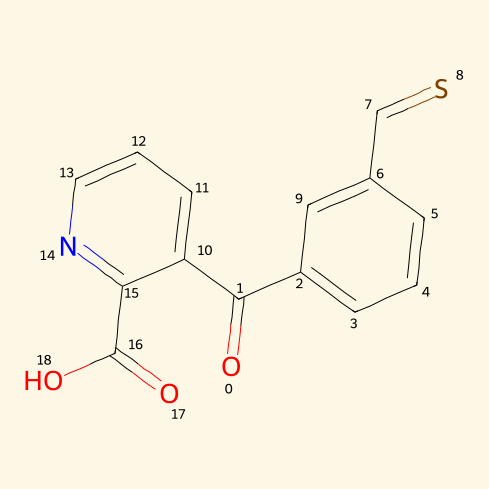 O=C(c1cccc(C=S)c1)c1cccnc1C(=O)O